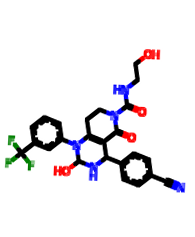 N#Cc1ccc(C2NC(O)N(c3cccc(C(F)(F)F)c3)C3=C2C(=O)N(C(=O)NCCO)CC3)cc1